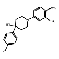 Cc1cc(N2CCC(O)(c3ccc(Cl)cc3)CC2)ccc1N